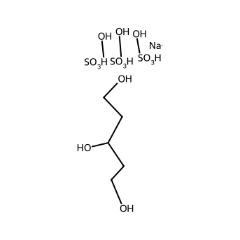 O=S(=O)(O)O.O=S(=O)(O)O.O=S(=O)(O)O.OCCC(O)CCO.[Na]